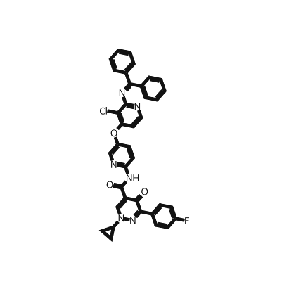 O=C(Nc1ccc(Oc2ccnc(N=C(c3ccccc3)c3ccccc3)c2Cl)cn1)c1cn(C2CC2)nc(-c2ccc(F)cc2)c1=O